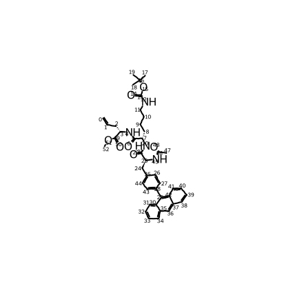 C=CC[C@H](NC(=O)[C@H](CCCCNC(=O)OC(C)(C)C)NC(=O)[C@H](Cc1ccc(-c2c3ccccc3cc3ccccc23)cc1)NC(C)=O)C(=O)OC